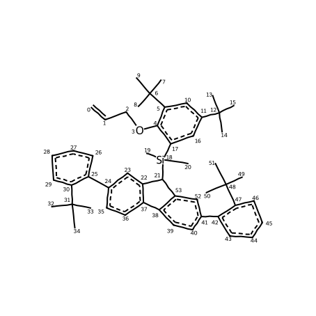 C=CCOc1c(C(C)(C)C)cc(C(C)(C)C)cc1[Si](C)(C)C1c2cc(-c3ccccc3C(C)(C)C)ccc2-c2ccc(-c3ccccc3C(C)(C)C)cc21